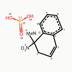 CNC1([N+](=O)[O-])CC=Cc2ccccc21.O=[PH](O)O